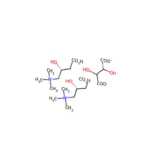 C[N+](C)(C)C[C@H](O)CC(=O)O.C[N+](C)(C)C[C@H](O)CC(=O)O.O=C([O-])C(O)C(O)C(=O)[O-]